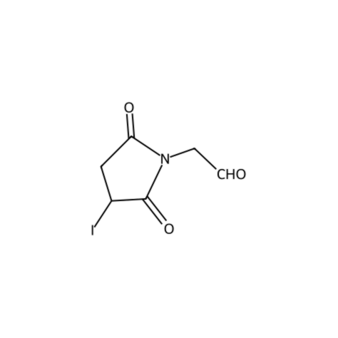 O=CCN1C(=O)CC(I)C1=O